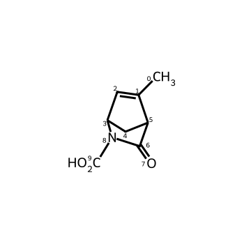 CC1=CC2CC1C(=O)N2C(=O)O